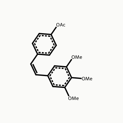 COc1cc(/C=C\c2ccc(OC(C)=O)cc2)cc(OC)c1OC